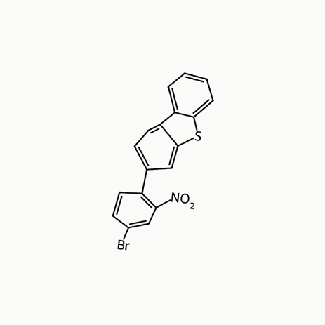 O=[N+]([O-])c1cc(Br)ccc1-c1ccc2c(c1)sc1ccccc12